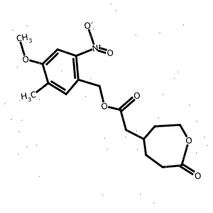 COc1cc([N+](=O)[O-])c(COC(=O)CC2CCOC(=O)CC2)cc1C